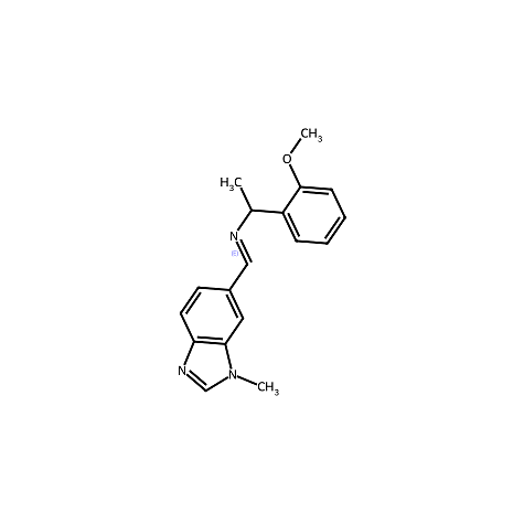 COc1ccccc1C(C)/N=C/c1ccc2ncn(C)c2c1